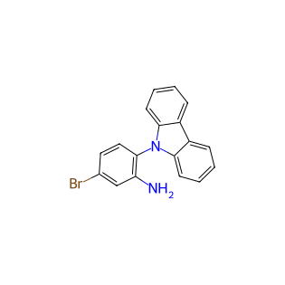 Nc1cc(Br)ccc1-n1c2ccccc2c2ccccc21